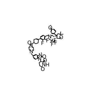 COc1ccc([C@]2(CCN(Cc3ccc(C4=CCC(C(=O)N5CCN(Cc6ccc7c(c6)n(C)c(=O)n7C6CCC(=O)NC6=O)CC5)CC4)c(F)c3F)CC(C)(C)C(F)(F)F)CCOC(C)(C)C2)cc1